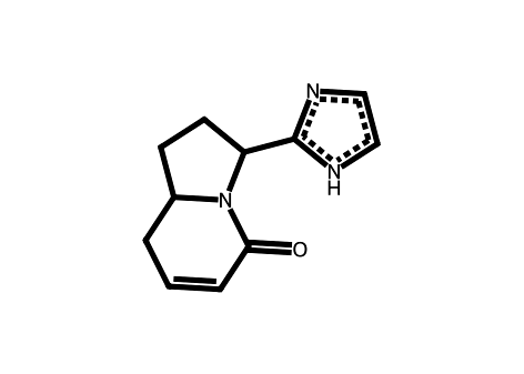 O=C1C=CCC2CCC(c3ncc[nH]3)N12